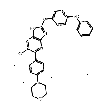 Clc1cc2[nH]c(Oc3ccc(Nc4ccccc4)cc3)nc2nc1-c1ccc(N2CCOCC2)cc1